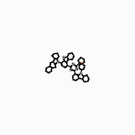 c1ccc(-c2nc(-c3ccc(-n4c5ccccc5c5cc6ccccc6cc54)c4sc5ccccc5c34)nc(-c3cccc4c5ccccc5n(-c5ccccc5)c34)n2)cc1